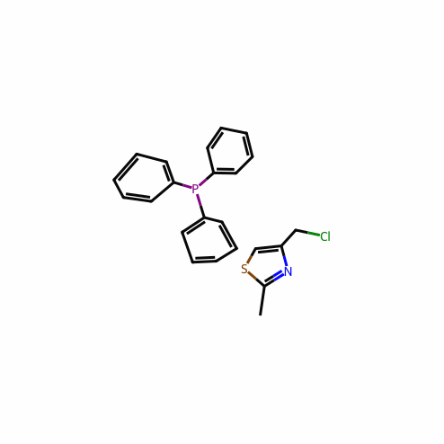 Cc1nc(CCl)cs1.c1ccc(P(c2ccccc2)c2ccccc2)cc1